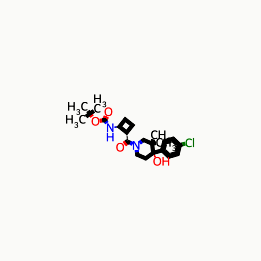 CC(C)(C)OC(=O)N[C@@H]1CC[C@@H]1C(=O)N1CC[C@](O)(c2ccc(Cl)cc2)C(C)(C)C1